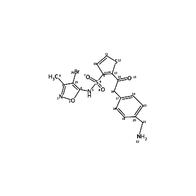 Cc1noc(NS(=O)(=O)c2ccsc2C(=O)Cc2ccc(CN)cc2)c1Br